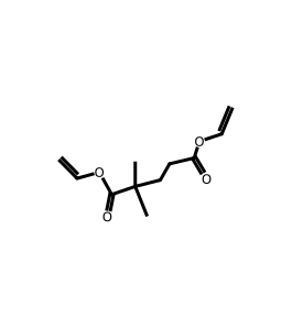 C=COC(=O)CCC(C)(C)C(=O)OC=C